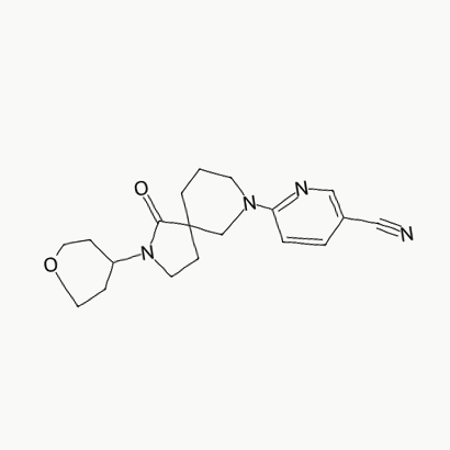 N#Cc1ccc(N2CCCC3(CCN(C4CCOCC4)C3=O)C2)nc1